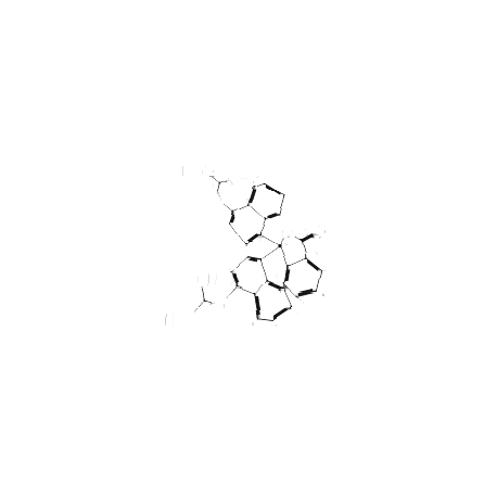 CC(C)Oc1ccc(C2(c3ccc(OC(C)C)c4ccccc34)OC(=O)c3ccccc32)c2ccccc12